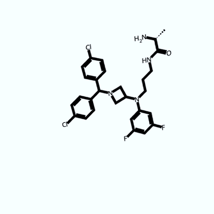 C[C@@H](N)C(=O)NCCCN(c1cc(F)cc(F)c1)C1CN(C(c2ccc(Cl)cc2)c2ccc(Cl)cc2)C1